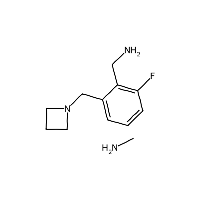 CN.NCc1c(F)cccc1CN1CCC1